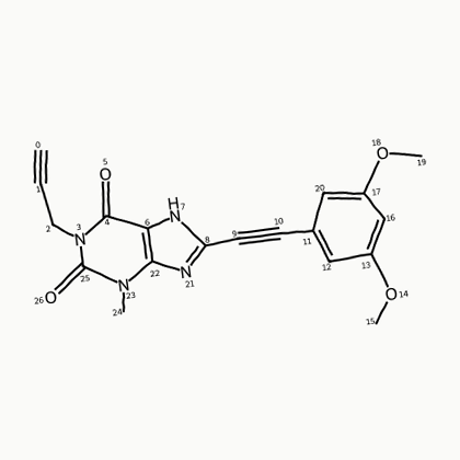 C#CCn1c(=O)c2[nH]c(C#Cc3cc(OC)cc(OC)c3)nc2n(C)c1=O